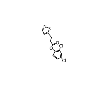 O=C(CCc1ccns1)Oc1ccc(Cl)cc1Cl